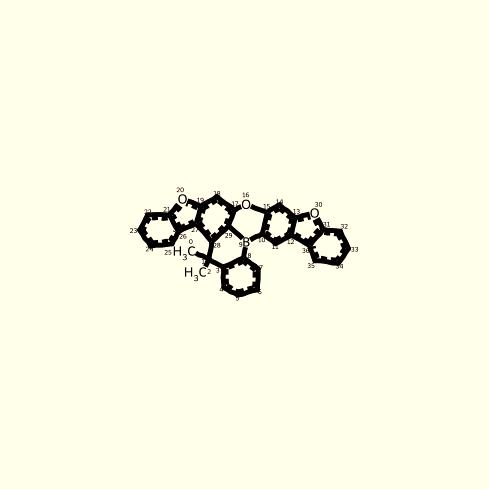 CC1(C)c2ccccc2B2c3cc4c(cc3Oc3cc5oc6ccccc6c5c1c32)oc1ccccc14